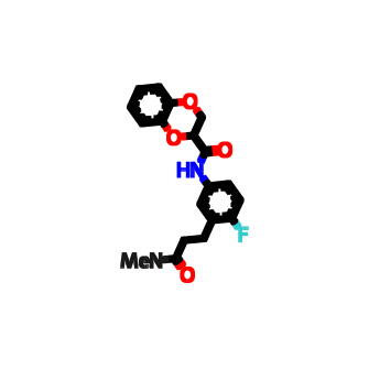 CNC(=O)CCc1cc(NC(=O)C2COc3ccccc3O2)ccc1F